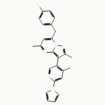 Cc1cc(Cc2ccc(F)cc2)n2nc(C)c(-c3cnc(-n4cccc4)cc3C)c2n1